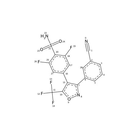 N#Cc1cccc(-c2noc(C(F)(F)F)c2-c2cc(F)c(S(N)(=O)=O)c(F)c2)c1